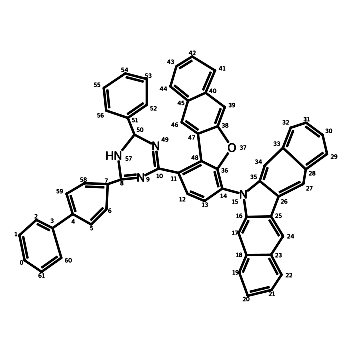 c1ccc(-c2ccc(C3=NC(c4ccc(-n5c6cc7ccccc7cc6c6cc7ccccc7cc65)c5oc6cc7ccccc7cc6c45)=NC(c4ccccc4)N3)cc2)cc1